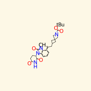 Cn1c(=O)n(C2CCC(=O)NC2=O)c2cccc(CCC3CC4(C3)CN(C(=O)OC(C)(C)C)C4)c21